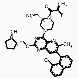 C=C(F)C(=O)N1CCN(c2nc(OC[C@@H]3CCCN3C)nc3cc(-c4cccc5cccc(Cl)c45)c(C)nc23)C[C@@H]1CC#N